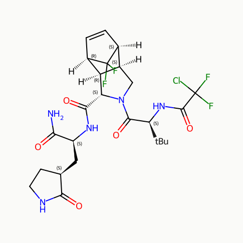 CC(C)(C)[C@H](NC(=O)C(F)(F)Cl)C(=O)N1C[C@H]2[C@@H]([C@H]1C(=O)N[C@@H](C[C@@H]1CCNC1=O)C(N)=O)[C@H]1C=C[C@@H]2C1(F)F